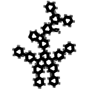 FC(F)(F)c1cc(-n2c3ccccc3c3cc(-c4cc5c6c(c4)N(c4ccc(-c7ccccc7)cc4)c4ccc(-c7ccccc7)cc4B6c4cc(-c6ccccc6)ccc4N5c4ccc(-c5ccccc5)cc4)ccc32)ccc1-c1nc(-c2ccccc2)nc(-c2ccccc2)n1